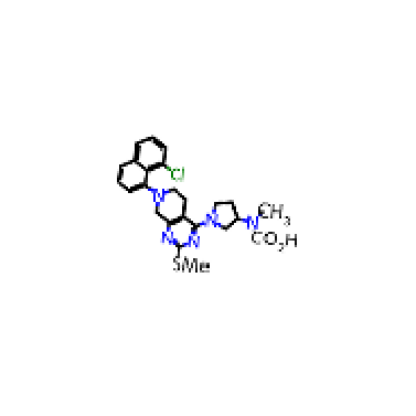 CSc1nc2c(c(N3CCC(N(C)C(=O)O)C3)n1)CCN(c1cccc3cccc(Cl)c13)C2